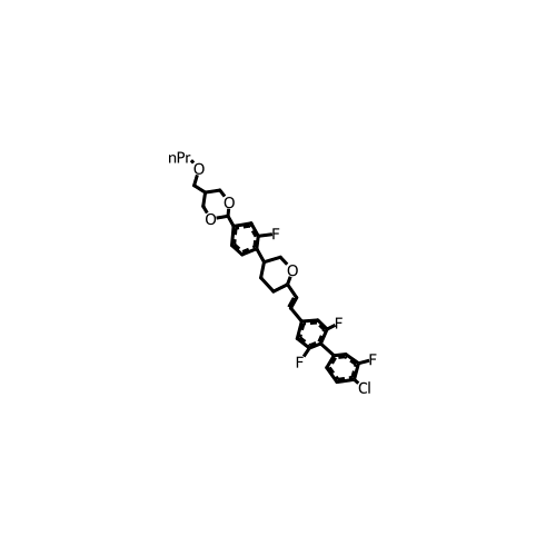 CCCOCC1COC(c2ccc(C3CCC(/C=C/c4cc(F)c(-c5ccc(Cl)c(F)c5)c(F)c4)OC3)c(F)c2)OC1